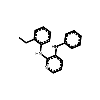 CCc1ccccc1Nc1ncccc1Nc1ccccc1